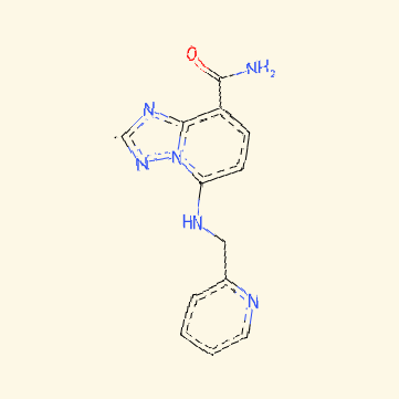 NC(=O)c1ccc(NCc2ccccn2)n2n[c]nc12